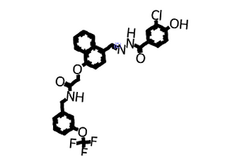 O=C(COc1ccc(/C=N/NC(=O)c2ccc(O)c(Cl)c2)c2ccccc12)NCc1cccc(OC(F)(F)F)c1